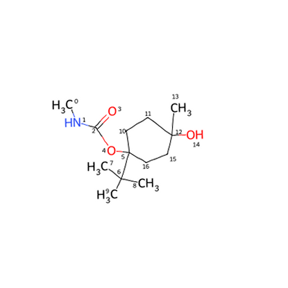 CNC(=O)OC1(C(C)(C)C)CCC(C)(O)CC1